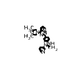 C=C(Nc1ccc(-c2nc(N3C[C@@H](C)O[C@@H](C)C3)c3cccn3n2)cc1)Nc1cccnc1